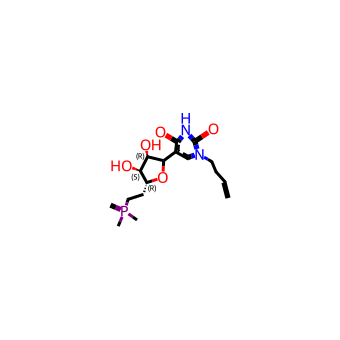 C=CCCn1cc(C2O[C@H](CCP(=C)(C)C)[C@@H](O)[C@H]2O)c(=O)[nH]c1=O